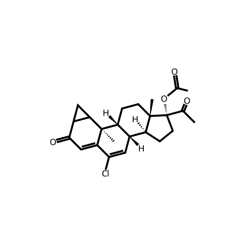 CC(=O)O[C@]1(C(C)=O)CC[C@H]2[C@@H]3C=C(Cl)C4=CC(=O)C5CC5[C@@]4(C)[C@@H]3CC[C@@]21C